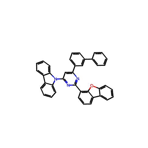 c1ccc(-c2cccc(-c3cc(-n4c5ccccc5c5ccccc54)nc(-c4cccc5c4oc4ccccc45)n3)c2)cc1